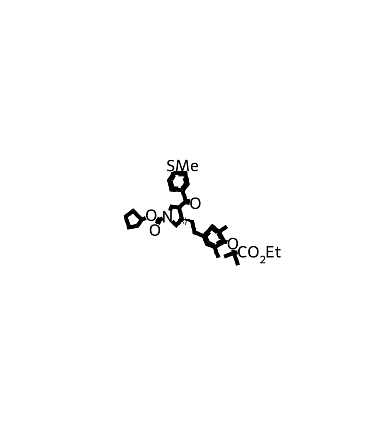 CCOC(=O)C(C)(C)Oc1c(C)cc(CC[C@H]2CN(C(=O)OC3CCCC3)CC2C(=O)c2ccc(SC)cc2)cc1C